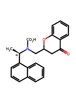 C[C@H](c1cccc2ccccc12)N(CC1CC(=O)c2ccccc2O1)C(=O)O